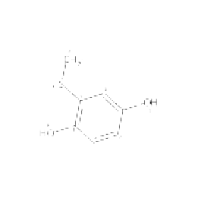 [CH2]Sc1cc(O)ccc1O